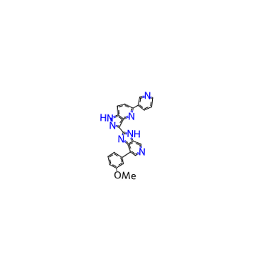 COc1cccc(-c2cncc3[nH]c(-c4n[nH]c5ccc(-c6cccnc6)nc45)nc23)c1